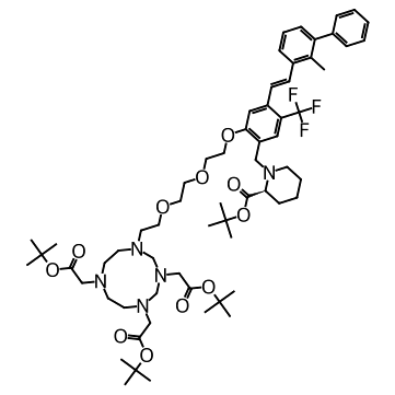 Cc1c(/C=C/c2cc(OCCOCCOCCN3CCN(CC(=O)OC(C)(C)C)CCN(CC(=O)OC(C)(C)C)CN(CC(=O)OC(C)(C)C)C3)c(CN3CCCC[C@H]3C(=O)OC(C)(C)C)cc2C(F)(F)F)cccc1-c1ccccc1